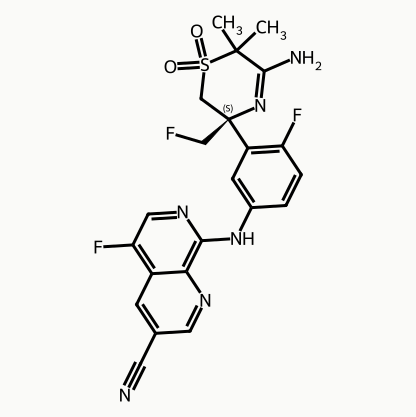 CC1(C)C(N)=N[C@](CF)(c2cc(Nc3ncc(F)c4cc(C#N)cnc34)ccc2F)CS1(=O)=O